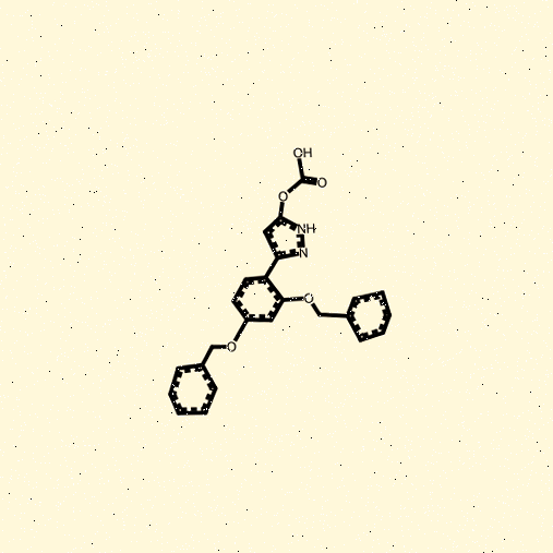 O=C(O)Oc1cc(-c2ccc(OCc3ccccc3)cc2OCc2ccccc2)n[nH]1